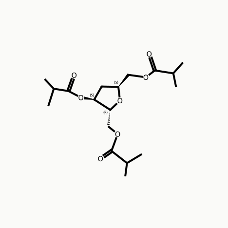 CC(C)C(=O)OC[C@@H]1C[C@H](OC(=O)C(C)C)[C@@H](COC(=O)C(C)C)O1